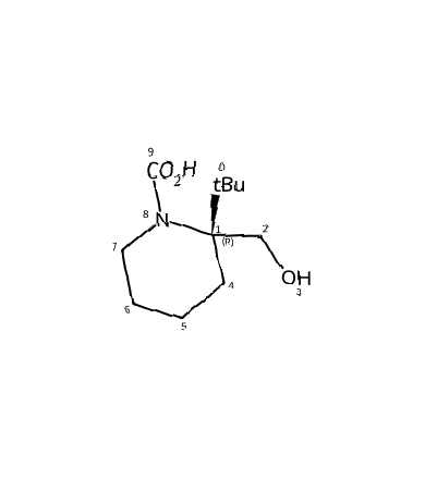 CC(C)(C)[C@@]1(CO)CCCCN1C(=O)O